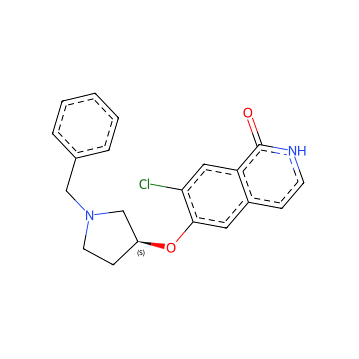 O=c1[nH]ccc2cc(O[C@H]3CCN(Cc4ccccc4)C3)c(Cl)cc12